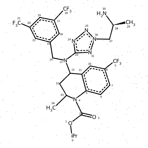 CC(C)OC(=O)N1c2ccc(C(F)(F)F)cc2C(N(Cc2cc(C(F)(F)F)cc(C(F)(F)F)c2)c2nnn(C[C@H](C)N)n2)CC1C